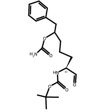 CC(C)(C)OC(=O)N[C@H](C=O)CCCC(Cc1ccccc1)OC(N)=O